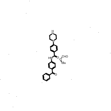 CC(C)(C)OC=O.O=C(Nc1ccc(C(=O)c2ccccc2)cc1)c1ccc(N2CCNCC2)cc1